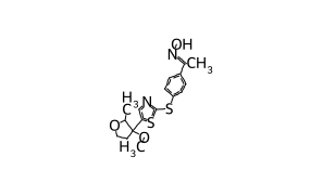 COC1(c2cnc(Sc3ccc(C(C)=NO)cc3)s2)CCOC1C